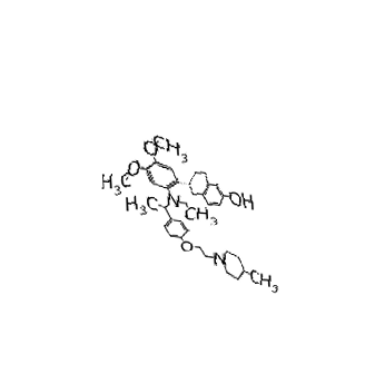 CCN(c1cc(OC)c(OC)cc1[C@@H]1CCc2cc(O)ccc2C1)C(C)c1ccc(OCCN2CCC(C)CC2)cc1